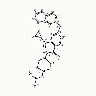 O=C(O)CN1CCC(NC(=O)c2cnc(Nc3ccc4cnccc4n3)cc2NC2CC2)CC1